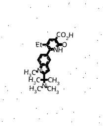 CCc1cc(C(=O)O)c(=O)[nH]c1-c1ccc2c(c1)cc(C(C)(C)N(C)C)n2C